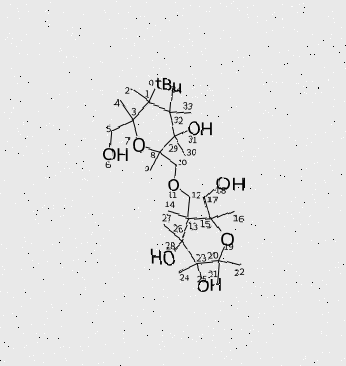 CC(C)(C)C1(C)C(C)(CO)OC(C)(COCC2(C)C(C)(CO)OC(C)(C)C(C)(O)C2(C)O)C(C)(O)C1(C)C